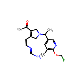 Cc1cc(C(C)N2CC(/C=C\N=C\N)=C(C(=O)C(C)(C)C)C2)cnc1OCF